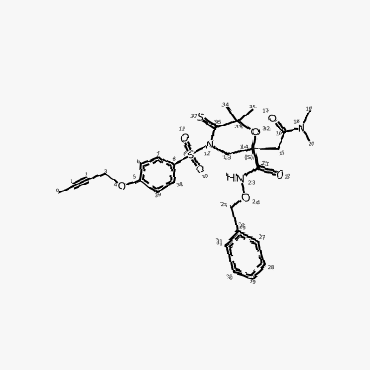 CC#CCOc1ccc(S(=O)(=O)N2C[C@@](CC(=O)N(C)C)(C(=O)NOCc3ccccc3)OC(C)(C)C2=S)cc1